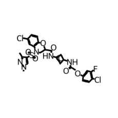 Cc1nn(C)cc1S(=O)(=O)N1CC(C(=O)NC23CC(NC(=O)COc4ccc(Cl)c(F)c4)(C2)C3)Oc2ccc(Cl)cc21